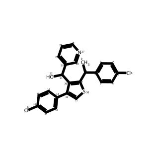 CC(c1ccc(Cl)cc1)c1scc(-c2ccc(Cl)cc2)c1C(O)c1cccnc1